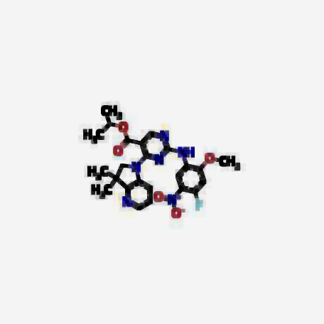 COc1cc(F)c([N+](=O)[O-])cc1Nc1ncc(C(=O)OC(C)C)c(N2CC(C)(C)c3ncccc32)n1